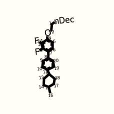 CCCCCCCCCCCCOc1ccc(-c2ccc(C3CCC(C)CC3)cc2)c(F)c1F